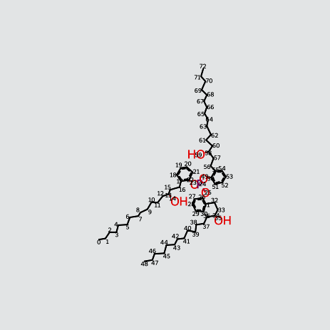 CCCCCCCCCCCCCC(O)CCc1ccccc1OP(Oc1ccccc1CCC(O)CCCCCCCCCCCCC)Oc1ccccc1CCC(O)CCCCCCCCCCCCC